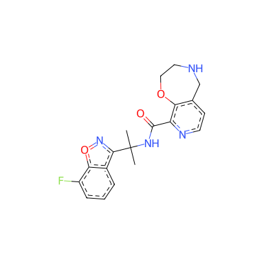 CC(C)(NC(=O)c1nccc2c1OCCNC2)c1noc2c(F)cccc12